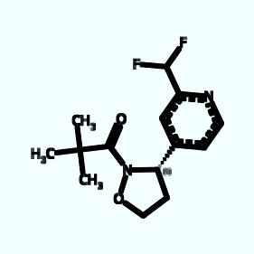 CC(C)(C)C(=O)N1OCC[C@H]1c1ccnc(C(F)F)c1